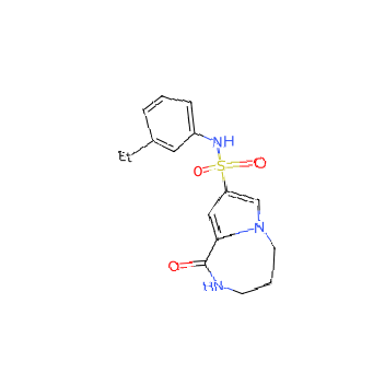 CCc1cccc(NS(=O)(=O)c2cc3n(c2)CCCNC3=O)c1